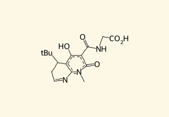 Cn1c2c(c(O)c(C(=O)NCC(=O)O)c1=O)C(C(C)(C)C)CC=N2